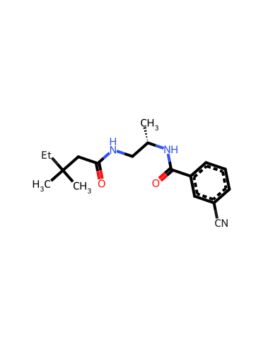 CCC(C)(C)CC(=O)NC[C@H](C)NC(=O)c1cccc(C#N)c1